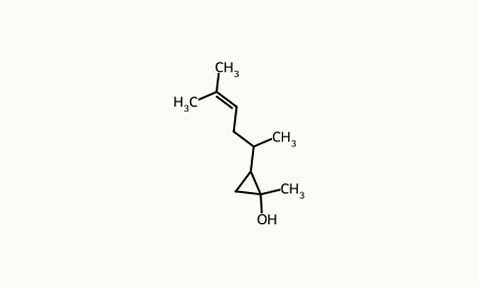 CC(C)=CCC(C)C1CC1(C)O